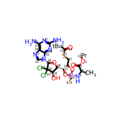 CC(C)OC(=O)[C@@H](C)N[P@@](=S)(OCCSC(=O)C(C)(C)C)OC[C@H]1O[C@@H](n2cnc3c(N)nc(N)nc32)C(Cl)(Cl)[C@@H]1O